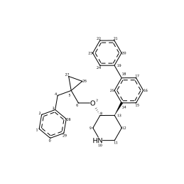 c1ccc(CC2(CO[C@H]3CNCC[C@@H]3c3cccc(-c4ccccc4)c3)CC2)cc1